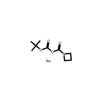 CC(C)(C)OC(=O)OC(=O)N1CCC1.[Na]